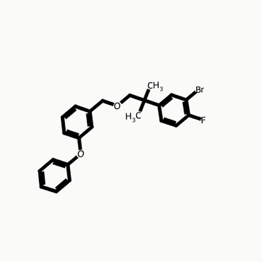 CC(C)(COCc1cccc(Oc2ccccc2)c1)c1ccc(F)c(Br)c1